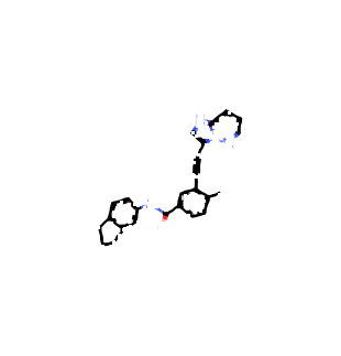 Cc1ccc(C(=O)Nc2ccc3c(c2)CCC3)cc1C#Cc1cnc2cccnn12